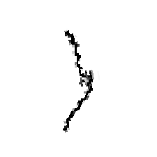 CCCCCCCCCCc1c[nH]c(CCCCCCCCCC)[n+]1C